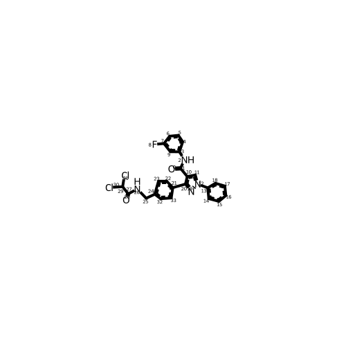 O=C(Nc1cccc(F)c1)c1cn(-c2ccccc2)nc1-c1ccc(CNC(=O)C(Cl)Cl)cc1